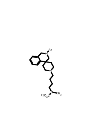 CCOC(=O)N(C)CCCCN1CCC2(CC1)CN(C(C)=O)Cc1ccccc12